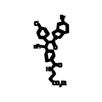 CCCC(c1ccc(C(=O)NCCC(=O)OCC)cc1)C(C(=O)N1Cc2ccc(Br)cc2C1)c1ccc(Cl)cc1